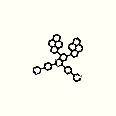 C1=CC(c2ccc(-c3nc(-c4ccc(-c5cccnc5)cc4)c4cc(-c5ccc6ccc7cccc8ccc5c6c78)cc(-c5ccc6ccc7cccc8ccc5c6c78)c4n3)cc2)CN=C1